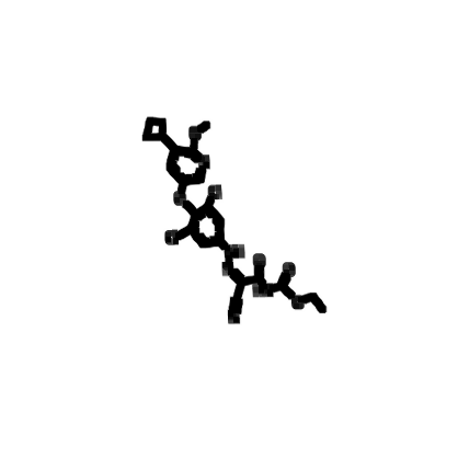 CCOC(=O)NC(=O)C(C#N)=NNc1cc(Cl)c(Oc2cnc(OC)c(C3CCC3)c2)c(Cl)c1